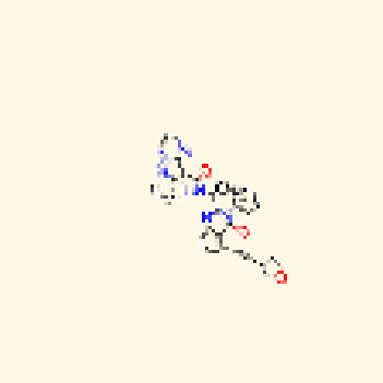 Cc1nn2cccnc2c1C(=O)N[C@@H](C)c1nc2cccc(C#CC3CCOC3)c2c(=O)n1-c1ccccc1